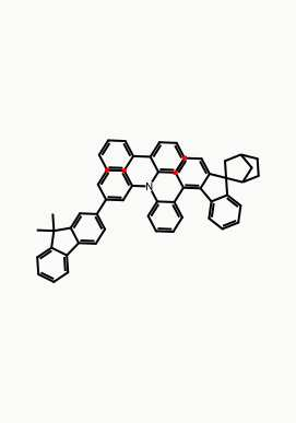 CC1(C)c2ccccc2-c2ccc(-c3cccc(N(c4ccccc4-c4ccccc4)c4ccccc4-c4cccc5c4-c4ccccc4C54CC5CCC4C5)c3)cc21